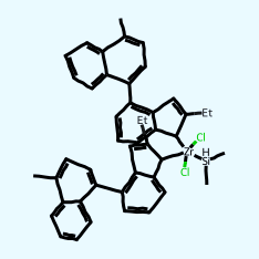 CCC1=Cc2c(-c3ccc(C)c4ccccc34)cccc2[CH]1[Zr]([Cl])([Cl])([CH]1C(CC)=Cc2c(-c3ccc(C)c4ccccc34)cccc21)[SiH](C)C